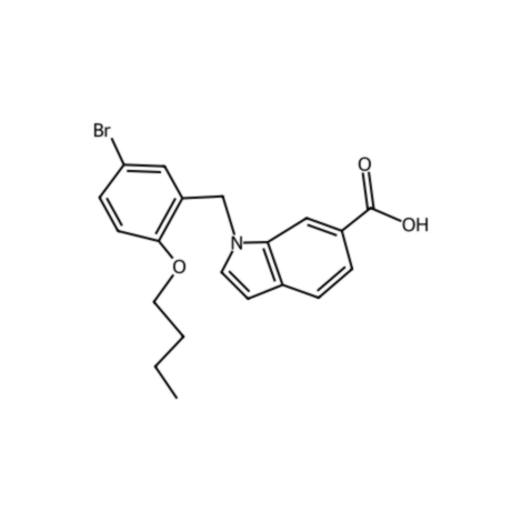 CCCCOc1ccc(Br)cc1Cn1ccc2ccc(C(=O)O)cc21